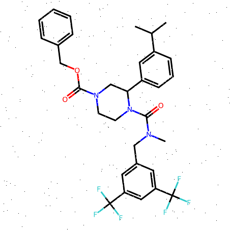 CC(C)c1cccc(C2CN(C(=O)OCc3ccccc3)CCN2C(=O)N(C)Cc2cc(C(F)(F)F)cc(C(F)(F)F)c2)c1